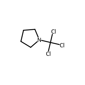 ClC(Cl)(Cl)N1CCCC1